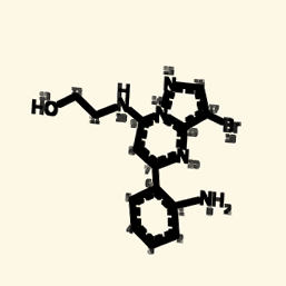 Nc1ccccc1-c1cc(NCCO)n2ncc(Br)c2n1